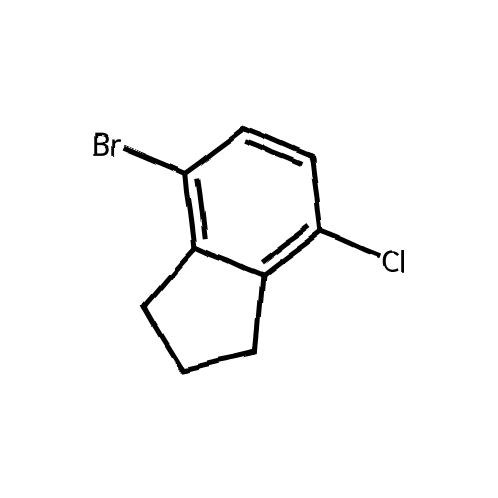 Clc1ccc(Br)c2c1CCC2